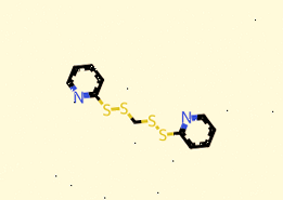 c1ccc(SSCSSc2ccccn2)nc1